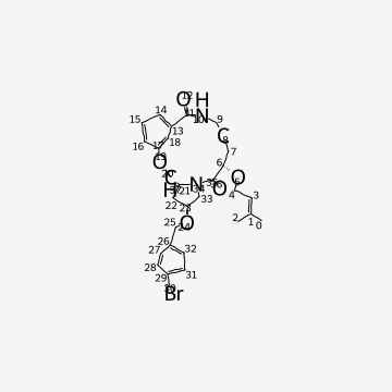 CC(C)=CCO[C@H]1CCCNC(=O)c2cccc(c2)OC[C@@H]2C[C@H](OCc3ccc(Br)cc3)CN2C1=O